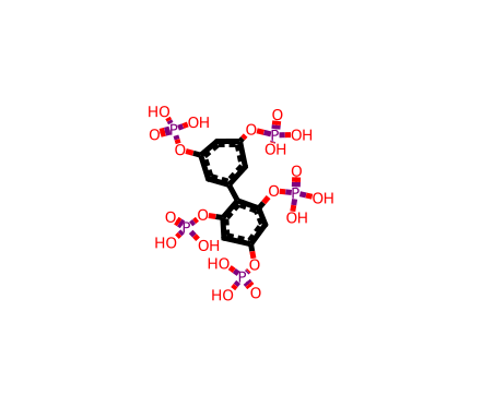 O=P(O)(O)Oc1cc(OP(=O)(O)O)cc(-c2c(OP(=O)(O)O)cc(OP(=O)(O)O)cc2OP(=O)(O)O)c1